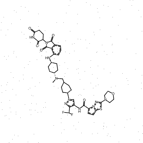 CN(CC1CCC(n2cc(NC(=O)c3ccc4sc(N5CCOCC5)nn34)c(C(F)F)n2)CC1)[C@H]1CC[C@H](Nc2cccc3c2C(=O)N(C2CCC(=O)NC2=O)C3=O)CC1